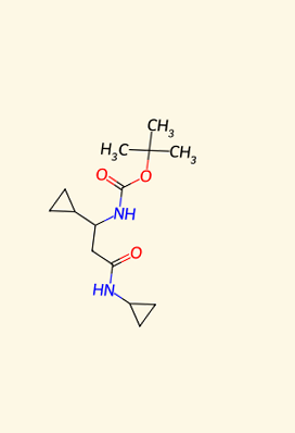 CC(C)(C)OC(=O)NC(CC(=O)NC1CC1)C1CC1